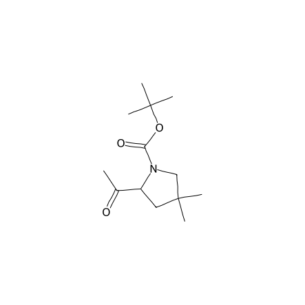 CC(=O)C1CC(C)(C)CN1C(=O)OC(C)(C)C